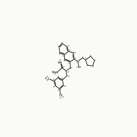 CCN(CC1CCCC1)c1nc2ccccc2cc1CN(Cc1cc(C(F)(F)F)cc(C(F)(F)F)c1)C(=N)NC